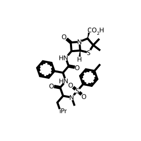 Cc1ccc(S(=O)(=O)N(C)C(CC(C)C)C(=O)NC(C(=O)NC2C(=O)N3[C@@H]2SC(C)(C)[C@@H]3C(=O)O)c2ccccc2)cc1